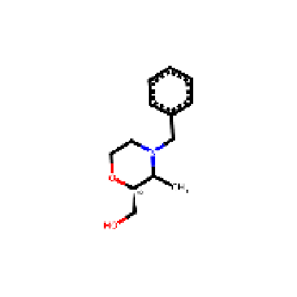 CC1[C@@H](CO)OCCN1Cc1ccccc1